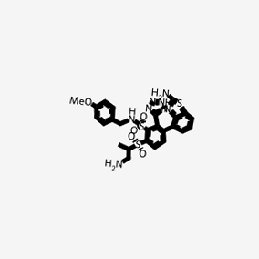 COc1ccc(CNS(=O)(=O)c2c(S(=O)(=O)C(C)CN)ccc(-c3cccc4sc(N)nc34)c2-c2nn[nH]n2)cc1